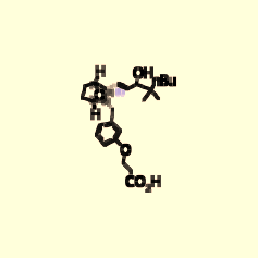 CCCCC(C)(C)C(O)/C=C/[C@@H]1[C@H](Cc2cccc(OCCC(=O)O)c2)[C@@H]2CC[C@H]1O2